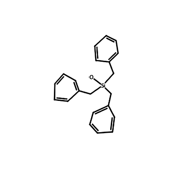 [O][Si](Cc1ccccc1)(Cc1ccccc1)Cc1ccccc1